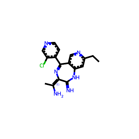 CCc1cc2c(cn1)C(c1ccncc1Cl)=N/C(=C(\C)N)C(=N)N2